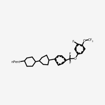 CCCCCC1CCC(C2CCC(c3ccc(C(F)(F)Oc4ccc(OC(F)(F)F)c(F)c4)cc3)CC2)CC1